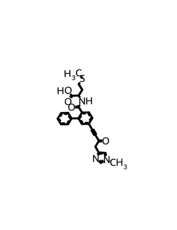 CSCCC(NC(=O)c1ccc(C#CC(=O)Cc2cn(C)cn2)cc1-c1ccccc1)C(=O)O